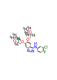 [2H]C([2H])([2H])OC([2H])([2H])COc1cc2ncnc(Nc3ccc(F)c(Cl)c3)c2cc1OCC([2H])([2H])OC([2H])([2H])[2H]